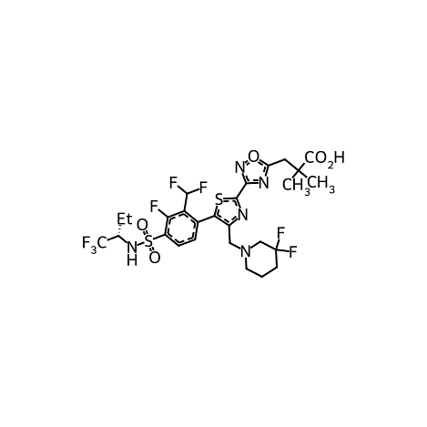 CC[C@H](NS(=O)(=O)c1ccc(-c2sc(-c3noc(CC(C)(C)C(=O)O)n3)nc2CN2CCCC(F)(F)C2)c(C(F)F)c1F)C(F)(F)F